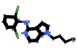 N#CCCCn1ccc2c(Nc3c(Cl)cccc3Cl)nccc21